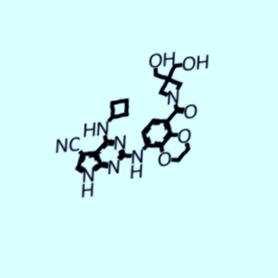 N#Cc1c[nH]c2nc(Nc3ccc(C(=O)N4CC(CO)(CO)C4)c4c3OCCO4)nc(NC3CCC3)c12